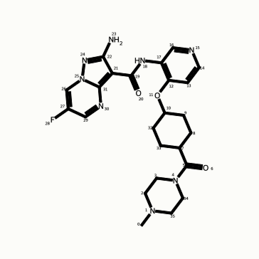 CN1CCN(C(=O)C2CCC(Oc3ccncc3NC(=O)c3c(N)nn4cc(F)cnc34)CC2)CC1